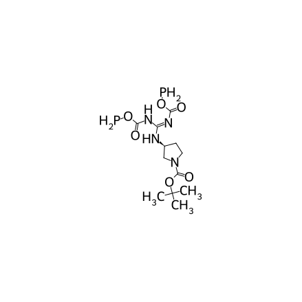 CC(C)(C)OC(=O)N1CC[C@H](NC(=NC(=O)OP)NC(=O)OP)C1